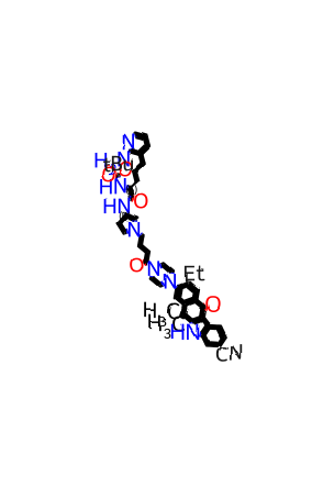 CCc1cc2c(cc1N1CCN(C(=O)CCCN3CC[C@@H](NC(=O)[C@H](CCCc4cccnc4N)NC(=O)OC(C)(C)C)C3)CC1)C(C)(C)c1[nH]c3cc(C#N)ccc3c1C2=O